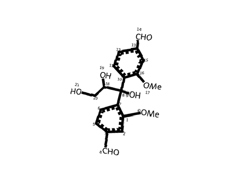 COc1cc(C=O)ccc1C(O)(c1ccc(C=O)cc1OC)C(O)CO